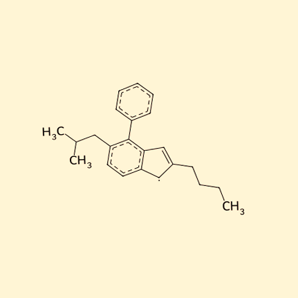 CCCCC1=Cc2c(ccc(CC(C)C)c2-c2ccccc2)[CH]1